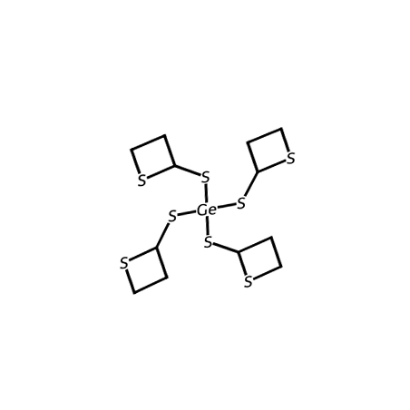 C1CC([S][Ge]([S]C2CCS2)([S]C2CCS2)[S]C2CCS2)S1